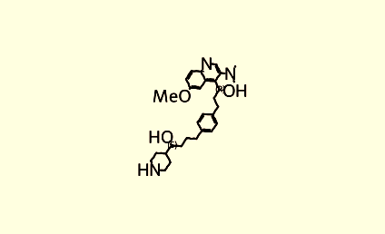 COc1ccc2ncc(N(C)C)c([C@H](O)CCc3ccc(CCC[C@H](O)C4CCNCC4)cc3)c2c1